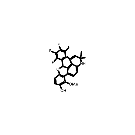 COc1c(O)ccc2c1-c1ccc3c(c1C(c1c(F)c(F)c(F)c(F)c1F)O2)C(C)=CC(C)(C)N3